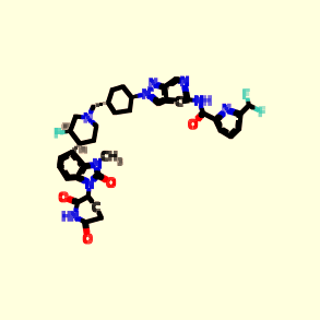 Cn1c(=O)n(C2CCC(=O)NC2=O)c2cccc([C@H]3CCN(C[C@H]4CC[C@H](n5cc6cc(NC(=O)c7cccc(C(F)F)n7)ncc6n5)CC4)C[C@@H]3F)c21